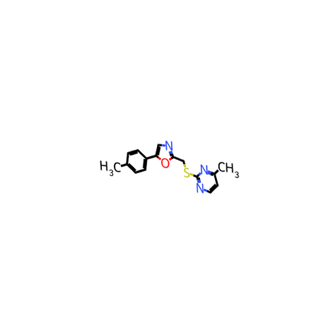 Cc1ccc(-c2cnc(CSc3nccc(C)n3)o2)cc1